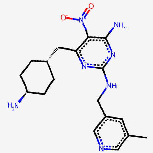 Cc1cncc(CNc2nc(N)c([N+](=O)[O-])c(C[C@H]3CC[C@H](N)CC3)n2)c1